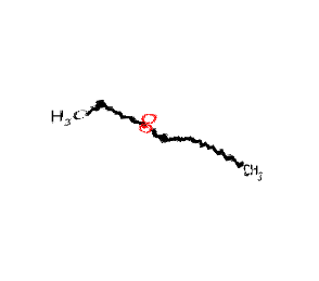 CCCC/C=C\CCCCCCCC(=O)OCCCCCCCCCCCCCCCCCCCC